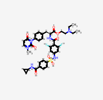 CCN(CC)CCOC(=O)[C@H](Cc1ccc(-n2c(=O)ccn(C)c2=O)cc1)NC(=O)c1c(F)cc(NS(=O)(=O)c2ccc(C(=O)NC3CC3)cc2)cc1F